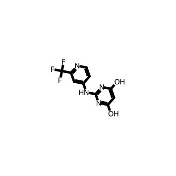 Oc1cc(O)nc(Nc2ccnc(C(F)(F)F)c2)n1